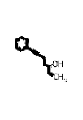 C=C[C@@H](O)CCC#Cc1ccccc1